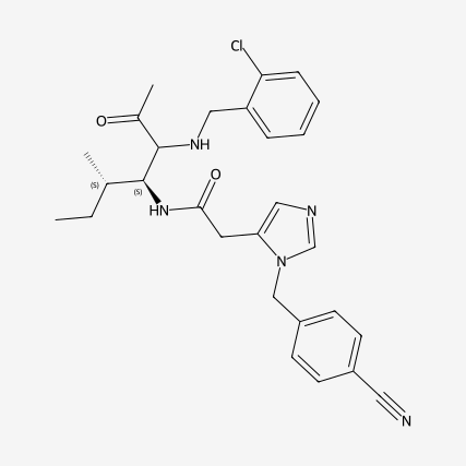 CC[C@H](C)[C@H](NC(=O)Cc1cncn1Cc1ccc(C#N)cc1)C(NCc1ccccc1Cl)C(C)=O